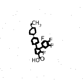 CC[C@H]1CC[C@H](c2ccc(-c3ccc(C(=O)O)c(F)c3-c3cc(F)c(F)c(F)c3)cc2)CC1